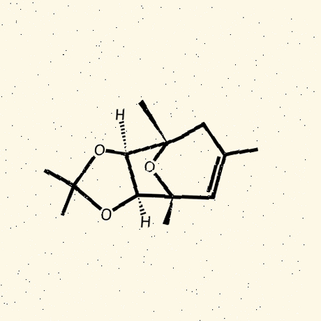 CC1=C[C@@]2(C)O[C@@](C)(C1)[C@@H]1OC(C)(C)O[C@@H]12